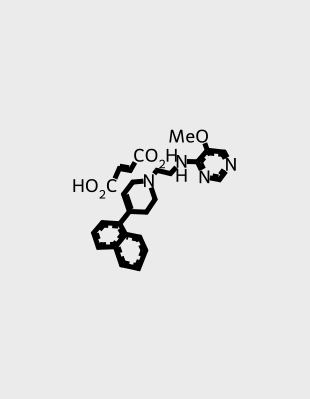 COc1cncnc1NCCN1CC=C(c2cccc3ccccc23)CC1.O=C(O)C=CC(=O)O